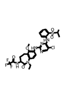 CCN1C(=O)C(NC(=O)C(F)(F)F)CCc2c1ccc(Nc1ncc(Cl)c(Nc3ccccc3S(=O)(=O)C(C)C)n1)c2OC